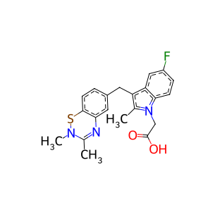 CC1=Nc2cc(Cc3c(C)n(CC(=O)O)c4ccc(F)cc34)ccc2SN1C